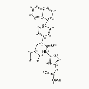 COC(=O)Cc1csc(NC(=O)C(CC2CCCC2)c2ccc(-c3cccc4ccccc34)cc2)n1